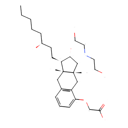 CCCCC[C@H](O)CC[C@@H]1[C@H]2Cc3cccc(OCC(=O)O)c3C[C@H]2C[C@H]1O.OCCNCCO